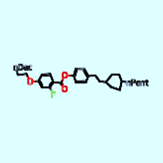 CCCCCCCCCCCCOc1ccc(C(=O)Oc2ccc(CCC3CCC(CCCCC)CC3)cc2)c(F)c1